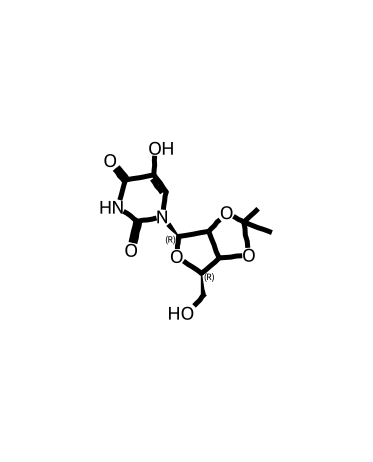 CC1(C)OC2C(O1)[C@@H](CO)O[C@H]2n1cc(O)c(=O)[nH]c1=O